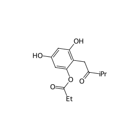 CCC(=O)Oc1cc(O)cc(O)c1CC(=O)C(C)C